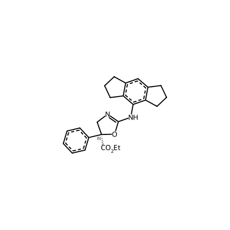 CCOC(=O)[C@]1(c2ccccc2)CN=C(Nc2c3c(cc4c2CCC4)CCC3)O1